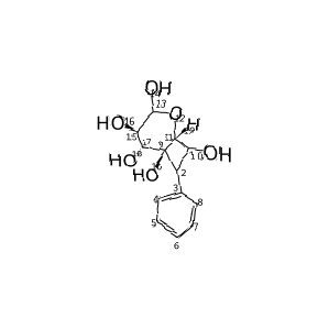 OC1C(c2ccccc2)[C@@]2(O)[C@@H]1OC(O)[C@H](O)[C@H]2O